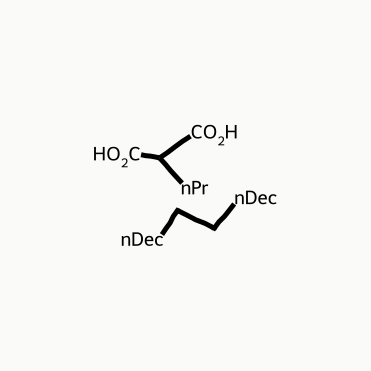 CCCC(C(=O)O)C(=O)O.CCCCCCCCCCCCCCCCCCCCCC